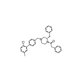 Cc1ccc(Cl)c(-c2ccc(CN3CCN(C(=O)Cc4ccccc4)[C@H](Cc4ccccc4)C3)cc2)c1